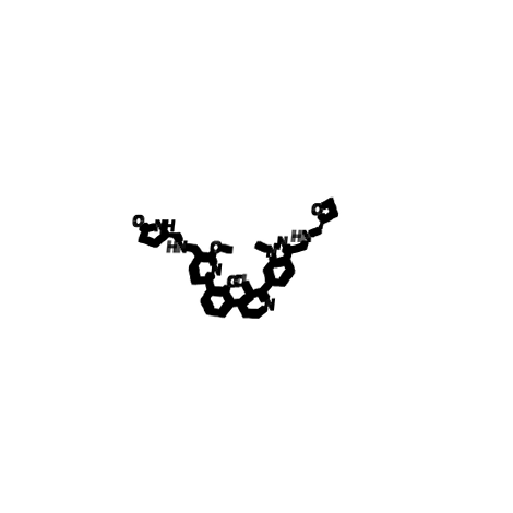 COc1nc(-c2cccc(-c3ccnc(-c4ccc5c(CNC[C@H]6CCO6)nn(C)c5c4)c3Cl)c2Cl)ccc1CNC[C@H]1CCC(=O)N1